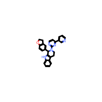 c1cncc(-c2ccnc(N3CCc4c([nH]c5ccccc45)C3c3ccc4c(c3)CCO4)n2)c1